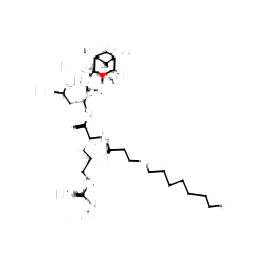 CCCCCCCCOCCC(=O)N[C@@H](CCCNC(=N)NC)C(=O)N[C@@H](CC(C)C)B1O[C@@H]2C[C@@H]3C[C@@H](C3(C)C)[C@]2(C)O1